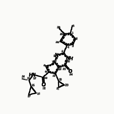 Cc1ccc(-c2nn3cc(C(=O)N[C@@H](C)C4CC4)c(C4CC4)c3c(=O)[nH]2)cc1C